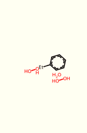 CCc1ccccc1.O.OO.OO